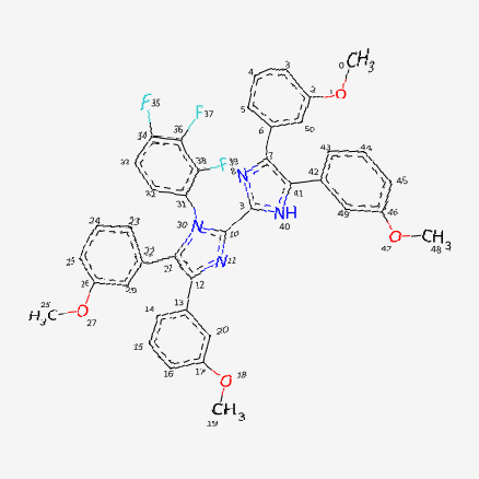 COc1cccc(-c2nc(-c3nc(-c4cccc(OC)c4)c(-c4cccc(OC)c4)n3-c3ccc(F)c(F)c3F)[nH]c2-c2cccc(OC)c2)c1